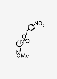 CON=CC1=CCCN(C(=O)OCCc2ccc([N+](=O)[O-])cc2)C1